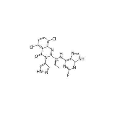 CC[C@H](Nc1nc(F)nc2[nH]cnc12)c1nc2c(Cl)ccc(Cl)c2c(=O)n1-c1cn[nH]c1